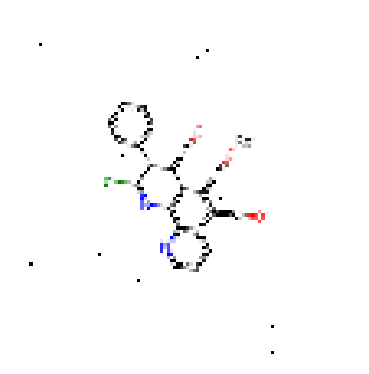 O=C=C1c2c(c3ncccc3c(=C=O)c2=C=O)N=C(Cl)C1c1ccccc1.[Re]